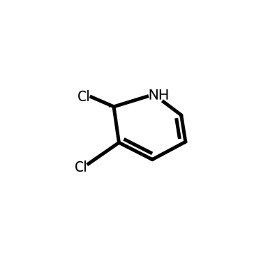 Cl[C]1NC=CC=C1Cl